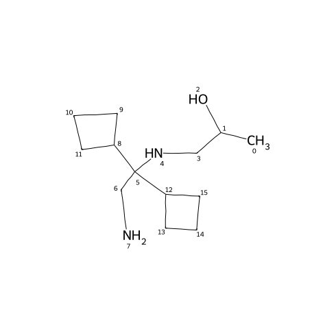 CC(O)CNC(CN)(C1CCC1)C1CCC1